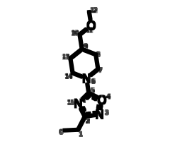 CCc1noc(N2CCC(COC)CC2)n1